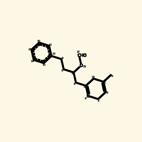 CC1=CCN=C(CC(CCc2ccccc2)OC=O)C1